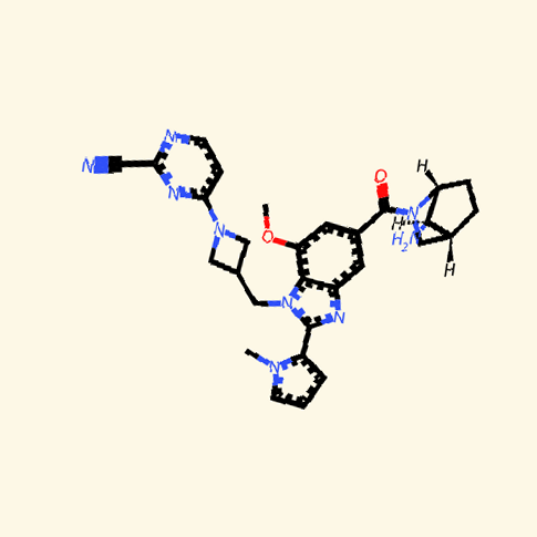 COc1cc(C(=O)N2C[C@H]3CC[C@@H]2[C@@H]3N)cc2nc(-c3cccn3C)n(CC3CN(c4ccnc(C#N)n4)C3)c12